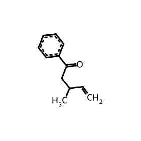 C=CC(C)CC(=O)c1ccccc1